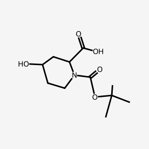 CC(C)(C)OC(=O)N1CCC(O)CC1C(=O)O